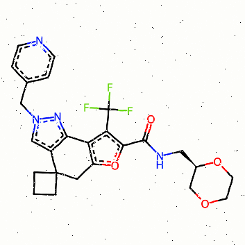 O=C(NC[C@@H]1COCCO1)c1oc2c(c1C(F)(F)F)-c1nn(Cc3ccncc3)cc1C1(CCC1)C2